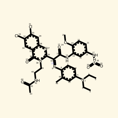 CCN(CC)c1ccc(/N=C(\C(=O)Nc2cc(N[SH](=O)=O)ccc2OC)c2nc3cc(Cl)c(Cl)cc3c(=O)n2CCNC(C)=O)c(C)c1